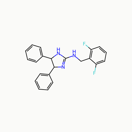 Fc1cccc(F)c1CNC1=NC(c2ccccc2)C(c2ccccc2)N1